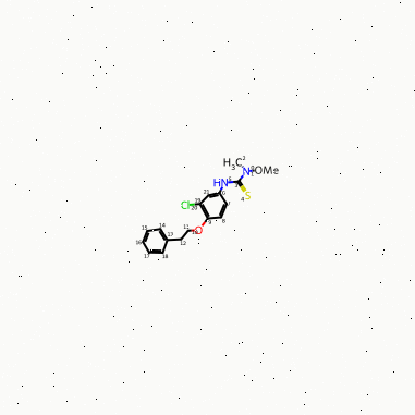 CON(C)C(=S)Nc1ccc(OCCc2ccccc2)c(Cl)c1